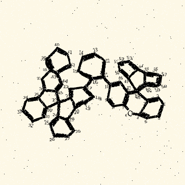 c1ccc2c(c1)Oc1ccc(-c3ccccc3-c3ccc4c(c3)C3(c5ccccc5-4)c4ccccc4-c4cc5ccccc5cc43)cc1C21c2ccccc2-c2ccccc21